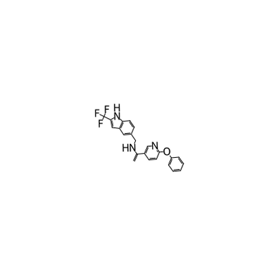 C=C(NCc1ccc2[nH]c(C(F)(F)F)cc2c1)c1ccc(Oc2ccccc2)nc1